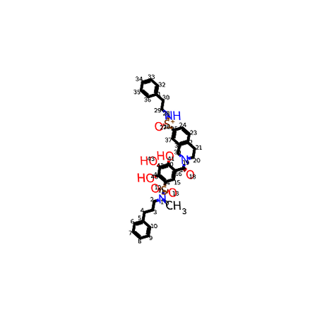 CN(CCCc1ccccc1)S(=O)(=O)c1cc(C(=O)N2CCc3ccc([S+]([O-])NCCc4ccccc4)cc3C2)c(O)c(O)c1O